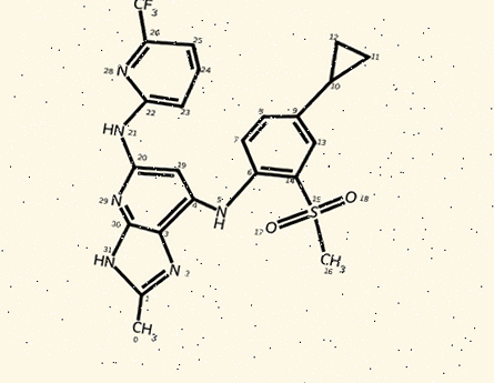 Cc1nc2c(Nc3ccc(C4CC4)cc3S(C)(=O)=O)cc(Nc3cccc(C(F)(F)F)n3)nc2[nH]1